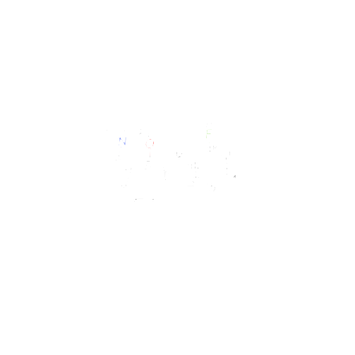 CN(C)CC1CCCC/C(=C\c2ccccc2F)C1=O